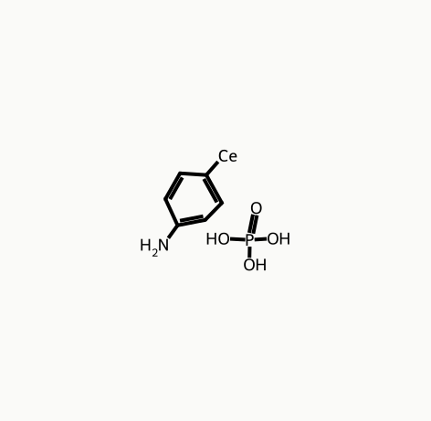 Nc1cc[c]([Ce])cc1.O=P(O)(O)O